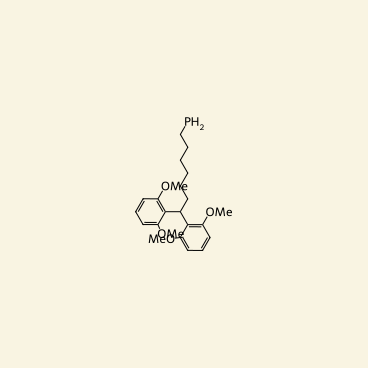 COc1cccc(OC)c1C(CCCCCCP)c1c(OC)cccc1OC